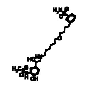 CS(=O)(=O)Nc1cc([C@@H](O)CNCCCCCCOCCCCc2cccc(S(N)(=O)=O)c2)ccc1O